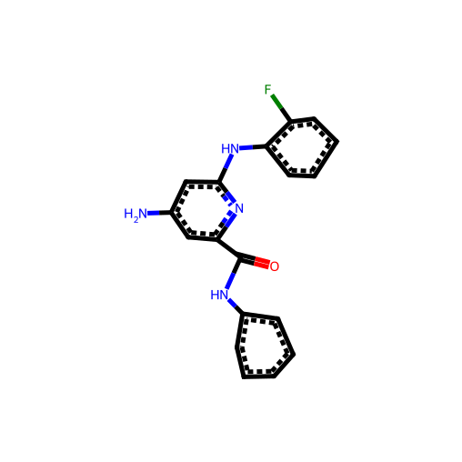 Nc1cc(Nc2ccccc2F)nc(C(=O)Nc2ccccc2)c1